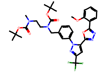 COc1ccccc1-c1nnc(-c2cc(C(F)(F)F)nn2-c2cccc(CN(CCN(C)C(=O)OC(C)(C)C)C(=O)OC(C)(C)C)c2)o1